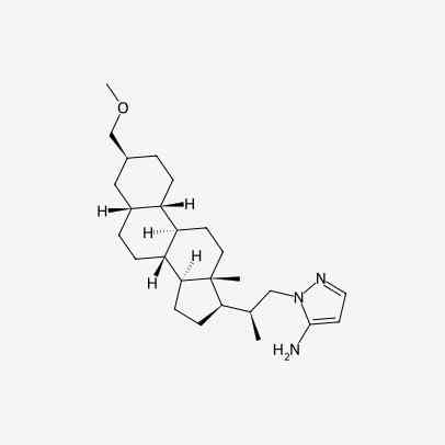 COC[C@H]1CC[C@H]2[C@H](CC[C@@H]3[C@@H]2CC[C@]2(C)[C@@H]([C@H](C)Cn4nccc4N)CC[C@@H]32)C1